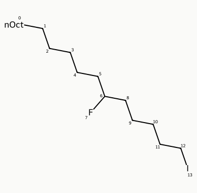 CCCCCCCCCCCCCC(F)CCCCCI